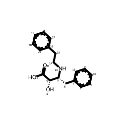 O=C(O)[C@@H](O)[C@@H](Cc1ccccc1)NCCc1ccccc1